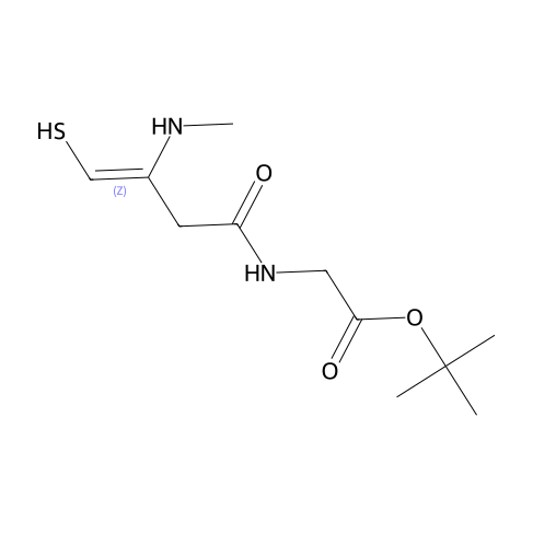 CN/C(=C\S)CC(=O)NCC(=O)OC(C)(C)C